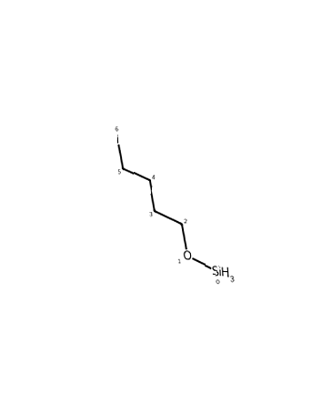 [SiH3]OCCCCI